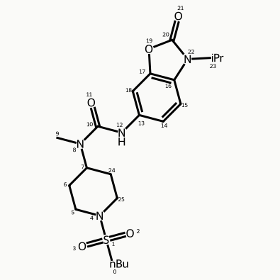 CCCCS(=O)(=O)N1CCC(N(C)C(=O)Nc2ccc3c(c2)oc(=O)n3C(C)C)CC1